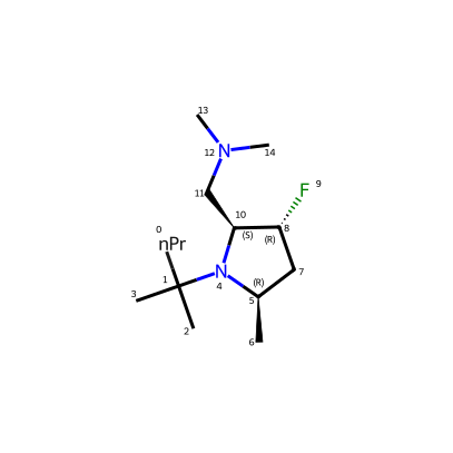 CCCC(C)(C)N1[C@H](C)C[C@@H](F)[C@@H]1CN(C)C